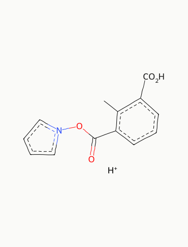 Cc1c(C(=O)O)cccc1C(=O)On1cccc1.[H+]